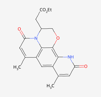 CCOC(=O)CC1COc2c3[nH]c(=O)cc(C)c3cc3c(C)cc(=O)n1c23